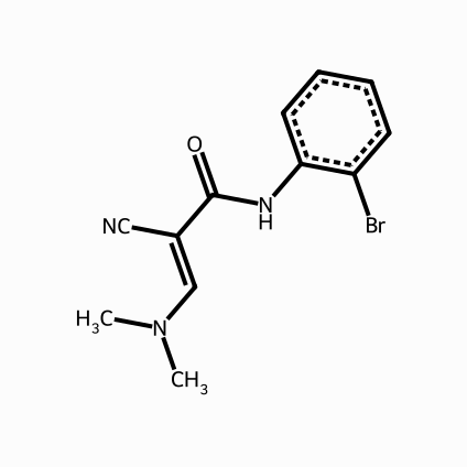 CN(C)C=C(C#N)C(=O)Nc1ccccc1Br